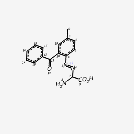 Cc1ccc(/N=N/C(N)C(=O)O)c(C(=O)c2ccccc2)c1